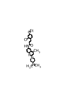 CCOc1ccc(C=CC(=O)Nc2ccc3nc(N4CCC(N(C)C)CC4)cc(C)c3c2)c(Cl)c1